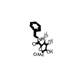 COC1OC(C(=O)NCc2ccccc2)C(C)C(O)C1O